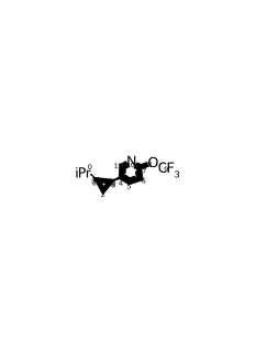 CC(C)[C@H]1C[C@@H]1c1ccc(OC(F)(F)F)nc1